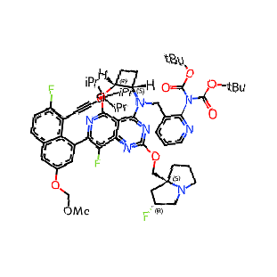 COCOc1cc(-c2nc3c4c(nc(OC[C@@]56CCCN5C[C@H](F)C6)nc4c2F)N(Cc2cccnc2N(C(=O)OC(C)(C)C)C(=O)OC(C)(C)C)[C@H]2CC[C@H]2O3)c2c(C#C[Si](C(C)C)(C(C)C)C(C)C)c(F)ccc2c1